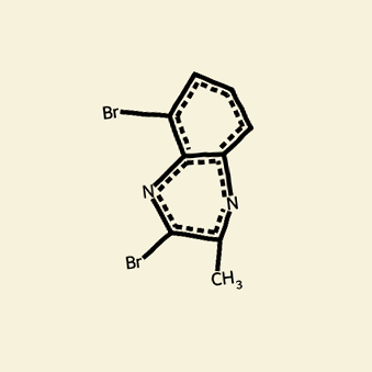 Cc1nc2cccc(Br)c2nc1Br